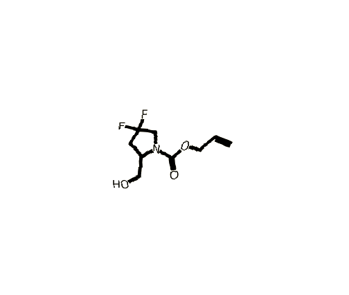 C=CCOC(=O)N1CC(F)(F)CC1CO